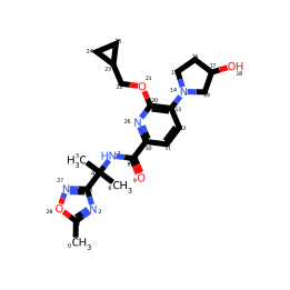 Cc1nc(C(C)(C)NC(=O)c2ccc(N3CCC(O)C3)c(OCC3CC3)n2)no1